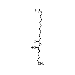 C=CCCCCCCCCC(=O)OC(O)=CCCCC